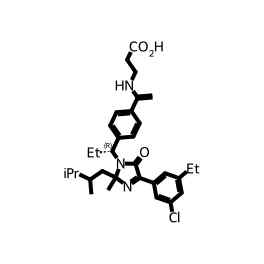 C=C(NCCC(=O)O)c1ccc([C@@H](CC)N2C(=O)C(c3cc(Cl)cc(CC)c3)=NC2(C)CC(C)C(C)C)cc1